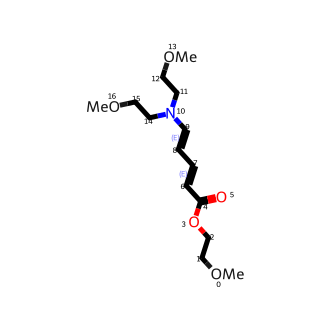 COCCOC(=O)/C=C/C=C/N(CCOC)CCOC